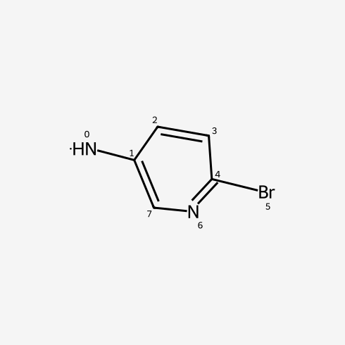 [NH]c1ccc(Br)nc1